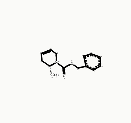 O=C(O)[C@@H]1CC=CCN1C(=O)OCc1ccccc1